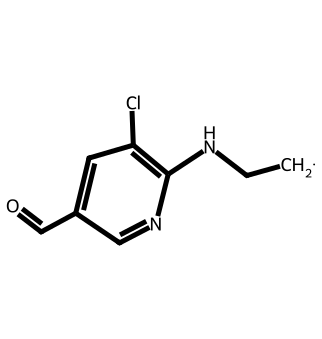 [CH2]CNc1ncc(C=O)cc1Cl